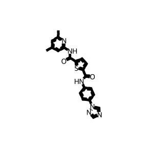 Cc1cc(C)nc(NC(=O)c2ccc(C(=O)Nc3ccc(-n4cncn4)cc3)s2)c1